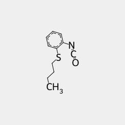 CCCCSc1ccccc1N=C=O